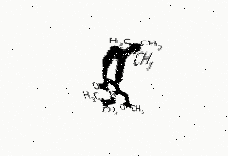 CC(=O)CC1c2cc(C(C)(C)C)ccc2C(=O)N1CC(C)C